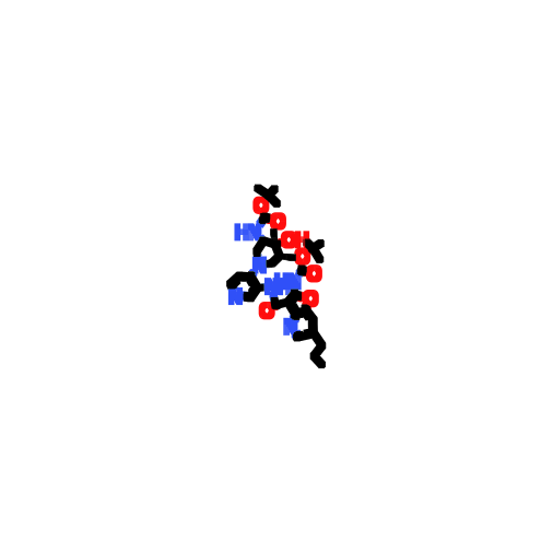 CCCc1cnc2c(C(=O)Nc3cnccc3N3C[C@H](C)[C@@](C)(O)[C@H](NC(=O)OC(C)(C)C)C3)c(NC(=O)OC(C)(C)C)oc2c1